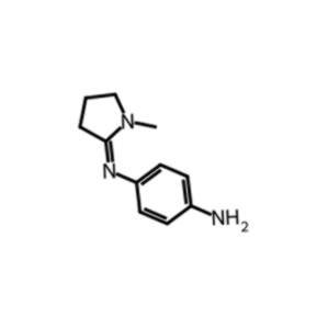 CN1CCCC1=Nc1ccc(N)cc1